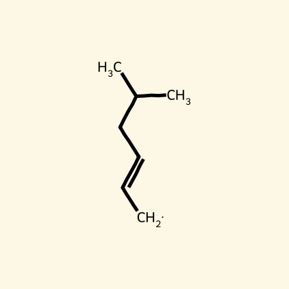 [CH2]C=CCC(C)C